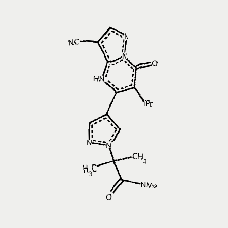 CNC(=O)C(C)(C)n1cc(-c2[nH]c3c(C#N)cnn3c(=O)c2C(C)C)cn1